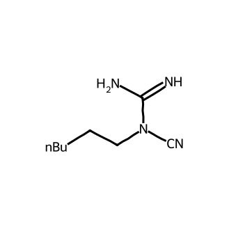 CCCCCCN(C#N)C(=N)N